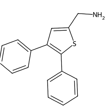 NCc1cc(-c2ccccc2)c(-c2ccccc2)s1